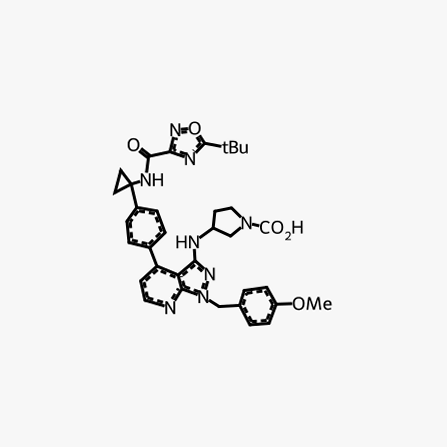 COc1ccc(Cn2nc(NC3CCN(C(=O)O)C3)c3c(-c4ccc(C5(NC(=O)c6noc(C(C)(C)C)n6)CC5)cc4)ccnc32)cc1